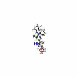 Cc1ccc(C)c(Cn2c(C(F)F)c(CCC(=O)NC(C)Cc3ccco3)c3ccccc32)c1